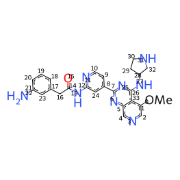 COc1cncc2nc(-c3ccnc(NC(=O)Cc4cccc(N)c4)c3)nc(NC3CCNC3)c12